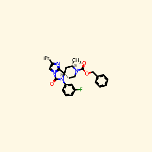 CC(C)c1cn2c(n1)[C@]1(CCN(C(=O)OCc3ccccc3)[C@@H](C)C1)N(c1cccc(F)c1)C2=O